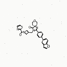 O=C(c1nccs1)N1CC(CN2C(=O)C3(CCOCC3)N=C2c2ccc(-c3ccc4occc4c3)cc2)C1